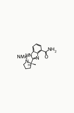 CNN1CCC[C@@]1(C)c1nc2c(C(N)=O)cccc2[nH]1